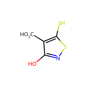 O=C(O)c1c(O)nsc1S